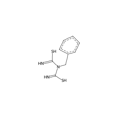 N=C(S)N(Cc1ccccc1)C(=N)S